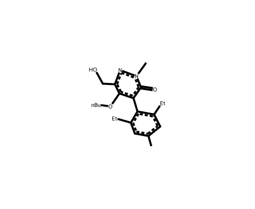 CCCCOc1c(CO)nn(C)c(=O)c1-c1c(CC)cc(C)cc1CC